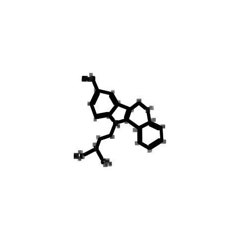 COc1ccc2c(c1)c1c(n2CCN(C)C)-c2ccccc2SC1